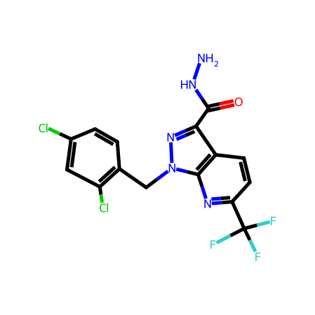 NNC(=O)c1nn(Cc2ccc(Cl)cc2Cl)c2nc(C(F)(F)F)ccc12